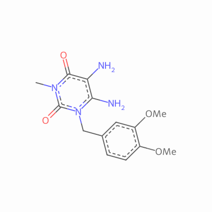 COc1ccc(Cn2c(N)c(N)c(=O)n(C)c2=O)cc1OC